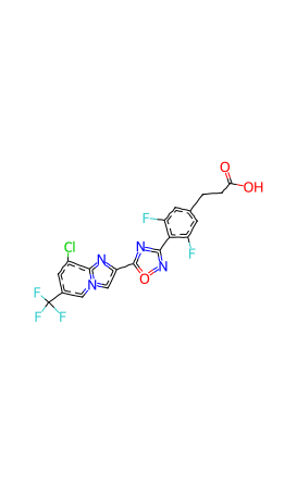 O=C(O)CCc1cc(F)c(-c2noc(-c3cn4cc(C(F)(F)F)cc(Cl)c4n3)n2)c(F)c1